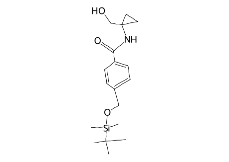 CC(C)(C)[Si](C)(C)OCc1ccc(C(=O)NC2(CO)CC2)cc1